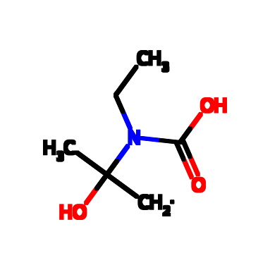 [CH2]C(C)(O)N(CC)C(=O)O